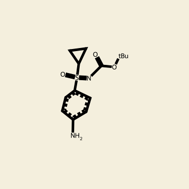 CC(C)(C)OC(=O)N=S(=O)(c1ccc(N)cc1)C1CC1